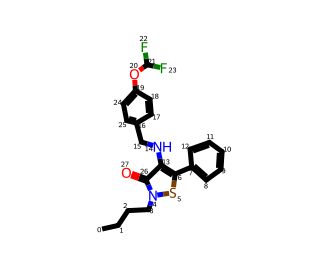 CCCCn1sc(-c2ccccc2)c(NCc2ccc(OC(F)F)cc2)c1=O